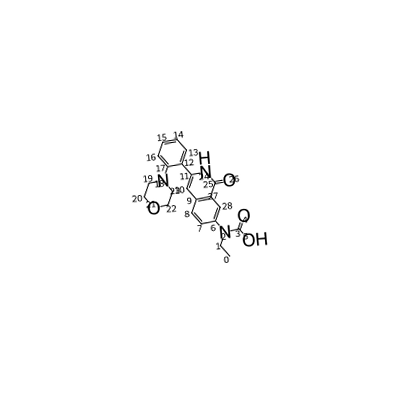 CCN(C(=O)O)c1ccc2cc(-c3ccccc3N3CCOCC3)[nH]c(=O)c2c1